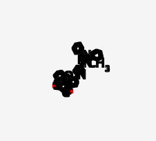 CC1(c2nc(-c3ccccc3)nc(-c3ccc(-c4cccc5c4Oc4ccccc4C54c5ccccc5-c5ccccc54)nc3)n2)C=CC=CC1